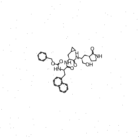 O=C(NC(Cc1cccc2ccccc12)C(=O)N[C@@H](CC1CC1)C(=O)N[C@H](CO)C[C@@H]1CCNC1=O)OCc1ccccc1